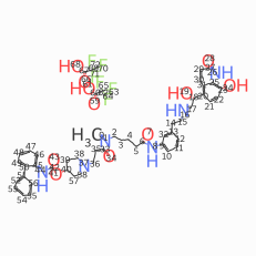 CN(CCCCC(=O)Nc1cccc(CCNC[C@H](O)c2ccc(O)c3[nH]c(=O)ccc23)c1)C(=O)CCN1CCC(OC(=O)Nc2ccccc2-c2ccccc2)CC1.O=C(O)C(F)(F)F.O=C(O)C(F)(F)F